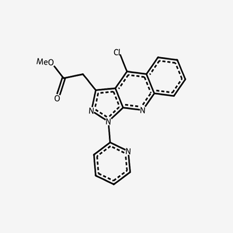 COC(=O)Cc1nn(-c2ccccn2)c2nc3ccccc3c(Cl)c12